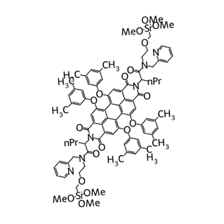 CCCC(C(=O)N(CCOC[Si](OC)(OC)OC)Cc1ccccn1)N1C(=O)c2cc(Oc3cc(C)cc(C)c3)c3c4c(Oc5cc(C)cc(C)c5)cc5c6c(cc(Oc7cc(C)cc(C)c7)c(c7c(Oc8cc(C)cc(C)c8)cc(c2c37)C1=O)c64)C(=O)N(C(CCC)C(=O)N(CCOC[Si](OC)(OC)OC)Cc1ccccn1)C5=O